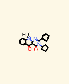 Cn1c2ccccc2c(=O)c2c(=O)n(C3CCCC3)c(-c3ccccc3)nc21